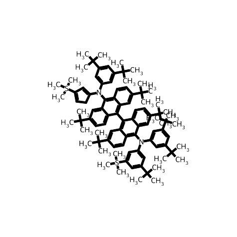 CC(C)(C)c1cc(N(C2=CC(S(C)(C)C)=CC2)c2c3ccc(C(C)(C)C)cc3c(-c3c4cc(C(C)(C)C)ccc4c(N(c4cc(C(C)(C)C)cc(C(C)(C)C)c4)c4cc(C(C)(C)C)cc(S(C)(C)C)c4)c4cc(C(C)(C)C)ccc34)c3ccc(C(C)(C)C)cc23)cc(C(C)(C)C)c1